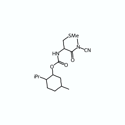 CSCC(NC(=O)OC1CC(C)CCC1C(C)C)C(=O)N(C)C#N